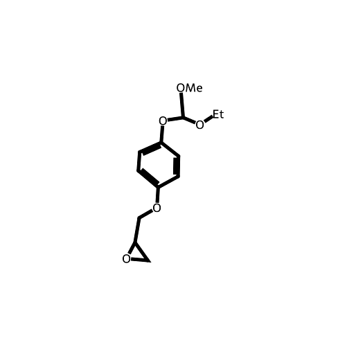 CCOC(OC)Oc1ccc(OCC2CO2)cc1